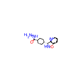 NNC(=O)[C@H]1CC[C@H](C2NOc3cccnc32)CC1